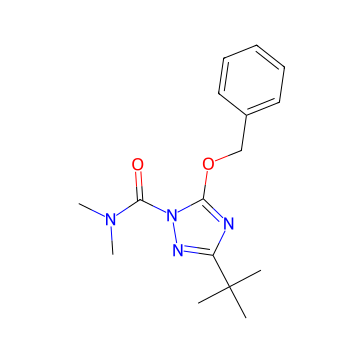 CN(C)C(=O)n1nc(C(C)(C)C)nc1OCc1ccccc1